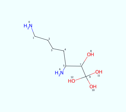 NCCCCC(N)C(O)C(O)(O)O